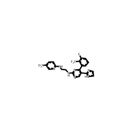 O=[N+]([O-])c1ccc(NCCNc2ncc(-c3ncc[nH]3)c(-c3cccc(F)c3C(F)(F)F)n2)nc1